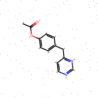 CC(=O)Oc1ccc(Cc2ccncn2)cc1